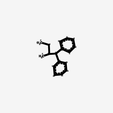 [CH2]CC(C)C(c1ccccc1)c1ccccc1